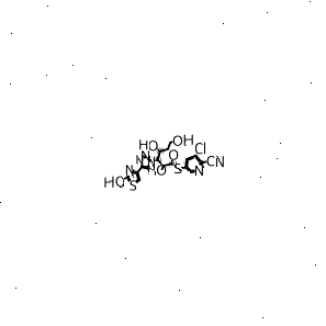 N#Cc1ncc(S[C@H]2OC(CO)[C@H](O)[C@H](n3cc(-c4csc(O)n4)nn3)C2O)cc1Cl